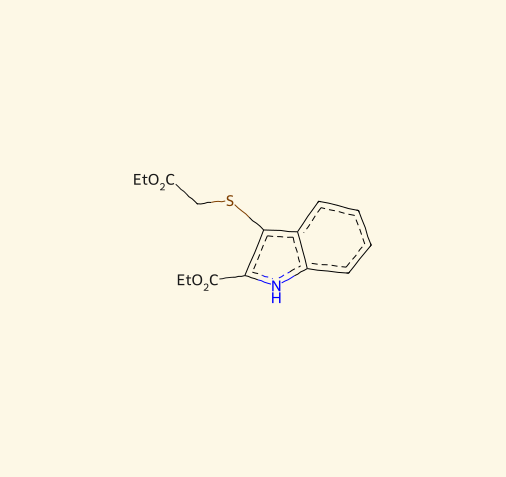 CCOC(=O)CSc1c(C(=O)OCC)[nH]c2ccccc12